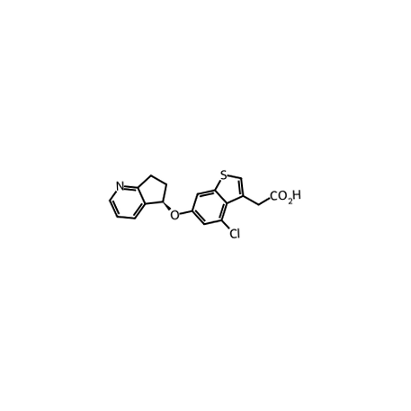 O=C(O)Cc1csc2cc(O[C@@H]3CCc4ncccc43)cc(Cl)c12